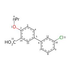 CCCOc1ccc(-c2cccc(Cl)c2)cc1C(=O)O